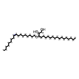 CCCCCCCC/C=C\CCCCCCCCOC(CCCCCCCCCCCCCCCC)C(O)CO